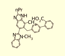 CCCc1nc2cc(-c3nc4ccccc4n3C)c(Cc3ccc(-c4ccccc4C(=O)O)cc3)c(C)c2[nH]1